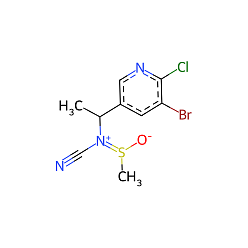 CC(c1cnc(Cl)c(Br)c1)[N+](C#N)=S(C)[O-]